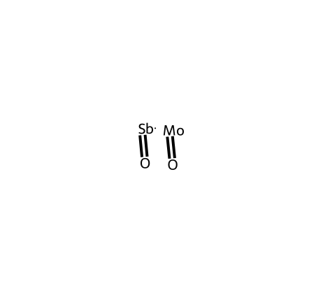 [O]=[Mo].[O]=[Sb]